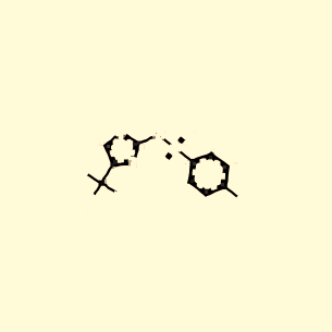 CCCc1ccc(S(=O)(=O)Nc2nc(C(O)(CC)CC)cs2)cc1